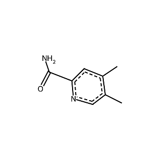 Cc1cnc(C(N)=O)cc1C